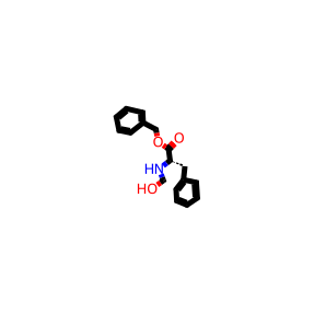 O=C(OCc1ccccc1)[C@H](Cc1ccccc1)NCO